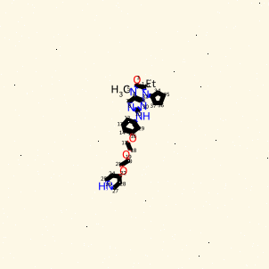 CC[C@@H]1C(=O)N(C)c2cnc(Nc3cccc(OCCOCCOC4CCNCC4)c3)nc2N1C1CCCC1